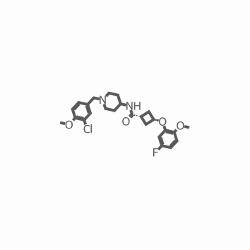 COc1ccc(CN2CCC(NC(=O)[C@H]3C[C@H](Oc4cc(F)ccc4OC)C3)CC2)cc1Cl